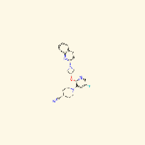 N#CC1CCN(c2cc(F)cnc2OC2CN(c3ccc4ccccc4n3)C2)CC1